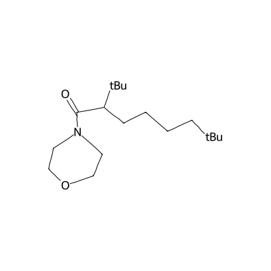 CC(C)(C)CCCCC(C(=O)N1CCOCC1)C(C)(C)C